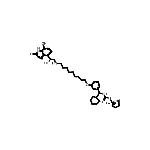 O=C(NC(c1cccc(OCCCCCCCCCNC[C@@H](O)c2ccc(O)c3[nH]c(=O)ccc23)c1)C1CCCCC1)O[C@H]1CN2CCC1CC2